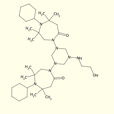 CC1(C)CC(=O)N(N2CN(NCCO)CN(N3CC(C)(C)N(C4CCCCC4)C(C)(C)CC3=O)C2)CC(C)(C)N1C1CCCCC1